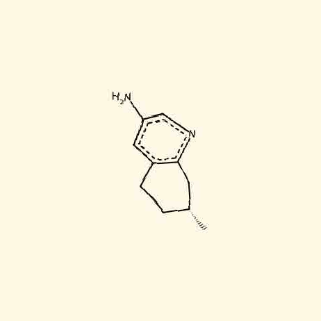 C[C@@H]1CCc2cc(N)cnc2C1